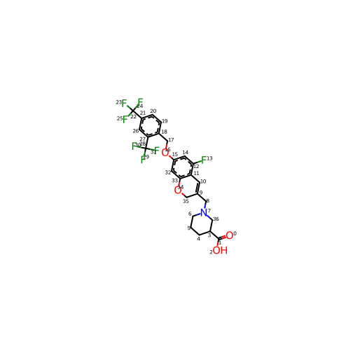 O=C(O)C1CCCN(CC2=Cc3c(F)cc(OCc4ccc(C(F)(F)F)cc4C(F)(F)F)cc3OC2)C1